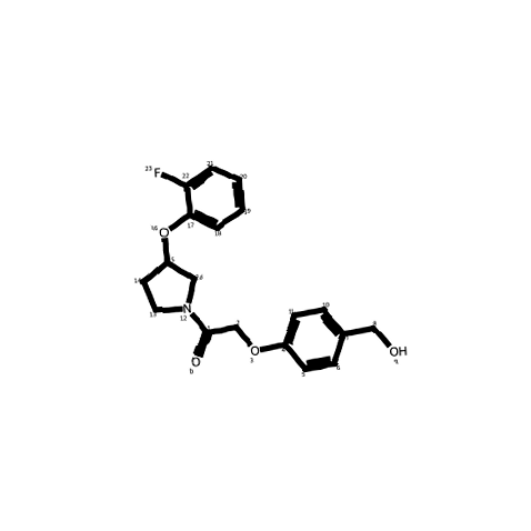 O=C(COc1ccc(CO)cc1)N1CCC(Oc2ccccc2F)C1